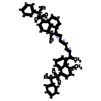 C=C(/C=C/C=C/C=c1/c2cccc3c(S(=O)(=O)N(CC)c4ccccc4)ccc(c32)n1CC)c1cccc2c(S(=O)(=O)N(CC)c3ccccc3)ccc(C)c12